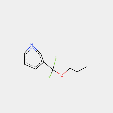 CCCOC(F)(F)c1cccnc1